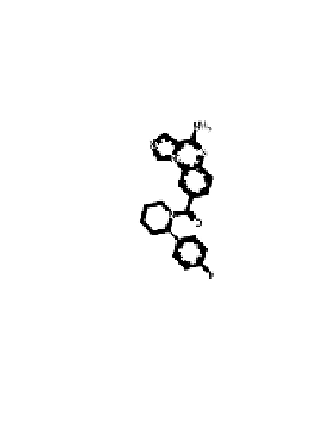 Nc1nc2ccc(C(=O)N3CCCC[C@@H]3c3ccc(F)cc3)cc2n2cncc12